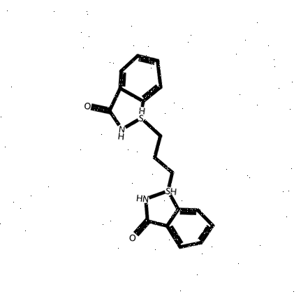 O=C1N[SH](CCC[SH]2NC(=O)c3ccccc32)c2ccccc21